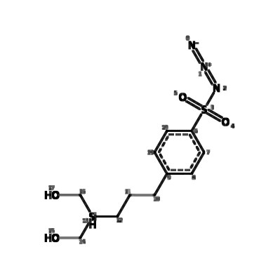 [N-]=[N+]=NS(=O)(=O)c1ccc(CCC[SiH](CO)CO)cc1